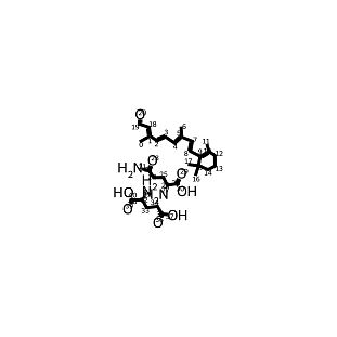 CC(C=CC=C(C)C=CC1=C(C)CCCC1(C)C)=CC=O.NC(=O)CC[C@H](N)C(=O)O.N[C@@H](CCC(=O)O)C(=O)O